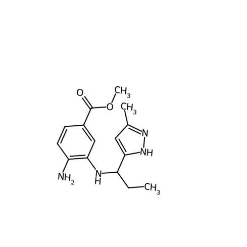 CCC(Nc1cc(C(=O)OC)ccc1N)c1cc(C)n[nH]1